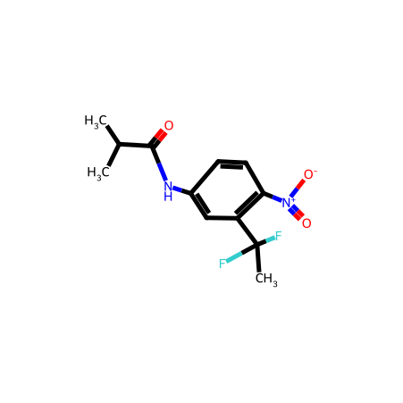 CC(C)C(=O)Nc1ccc([N+](=O)[O-])c(C(C)(F)F)c1